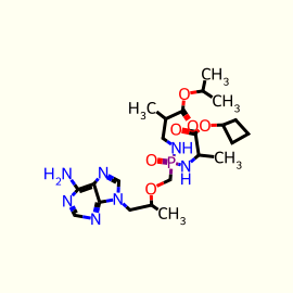 CC(C)OC(=O)C(C)CNP(=O)(COC(C)Cn1cnc2c(N)ncnc21)NC(C)C(=O)OC1CCC1